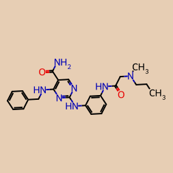 CCCN(C)CC(=O)Nc1cccc(Nc2ncc(C(N)=O)c(NCc3ccccc3)n2)c1